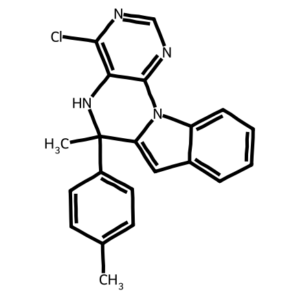 Cc1ccc(C2(C)Nc3c(Cl)ncnc3-n3c2cc2ccccc23)cc1